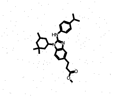 COC(=O)CCc1ccc2c(c1)nc(Nc1ccc(C(C)C)cc1)n2C1CC(C)CC(C)(C)C1